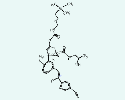 CC(O)CNC(=O)[C@]12C[C@H]1[C@@](C)(c1cc(/C=C(\F)c3ccc(C#N)cn3)ccc1F)N=C(OC(=O)NCOCC[Si](C)(C)C)S2